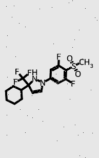 CS(=O)(=O)c1c(F)cc(N2C=CC(C3CCCCC3)(C(F)(F)F)N2)cc1F